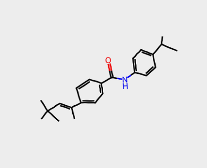 C/C(=C\C(C)(C)C)c1ccc(C(=O)Nc2ccc(C(C)C)cc2)cc1